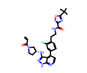 C=CC(=O)N1CC[C@@H](Nc2n[nH]c3nccc(-c4ccc(CCNC(=O)c5noc(C(C)(C)C)n5)c(F)c4)c23)C1